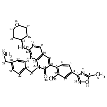 Cc1nc(-c2ccc(-c3cc4cnc(NC5CCOCC5)nc4n(Cc4ccc(CN)cc4)c3=O)c(Cl)c2)no1